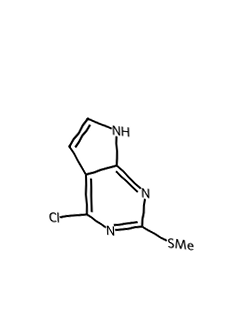 CSc1nc(Cl)c2cc[nH]c2n1